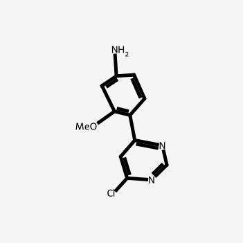 COc1cc(N)ccc1-c1cc(Cl)ncn1